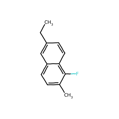 CCc1ccc2c(F)c(C)ccc2c1